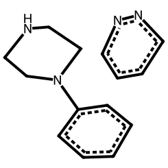 c1ccc(N2CCNCC2)cc1.c1ccnnc1